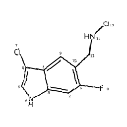 Fc1cc2[nH]cc(Cl)c2cc1CNCl